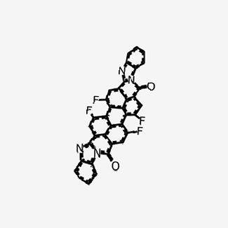 O=c1c2cc(F)c3c4c(F)cc5c(=O)n6c7ccccc7nc6c6cc(F)c(c7c(F)cc(c2c37)c2nc3ccccc3n12)c4c56